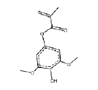 C=C(C)C(=O)Oc1cc(OC)c(O)c(OC)c1